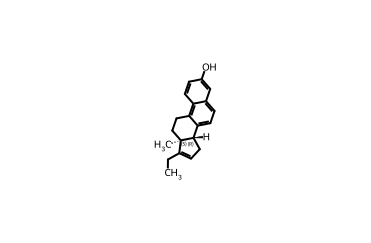 CCC1=CC[C@H]2c3ccc4cc(O)ccc4c3CC[C@]12C